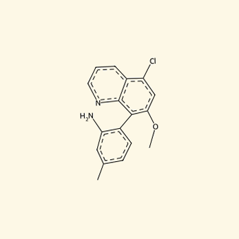 COc1cc(Cl)c2cccnc2c1-c1ccc(C)cc1N